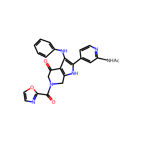 CC(=O)Nc1cc(-c2[nH]c3c(c2Nc2ccccc2)C(=O)CN(C(=O)c2ncco2)C3)ccn1